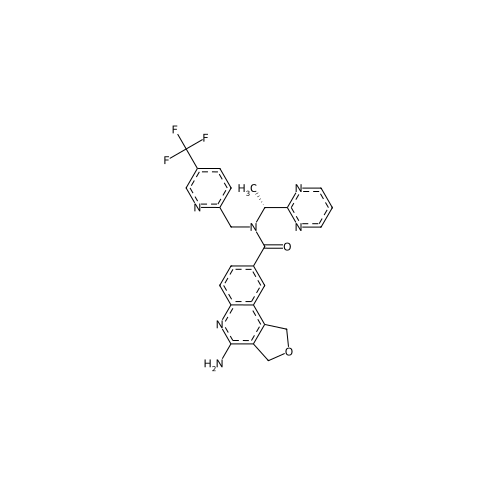 C[C@H](c1ncccn1)N(Cc1ccc(C(F)(F)F)cn1)C(=O)c1ccc2nc(N)c3c(c2c1)COC3